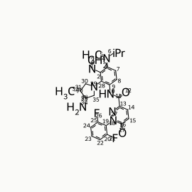 C=Nc1c(N(C)C(C)C)ccc(NC(=O)c2ccc(=O)n(-c3c(F)cccc3F)n2)c1N1C[C@@H](C)[C@@H](N)C1